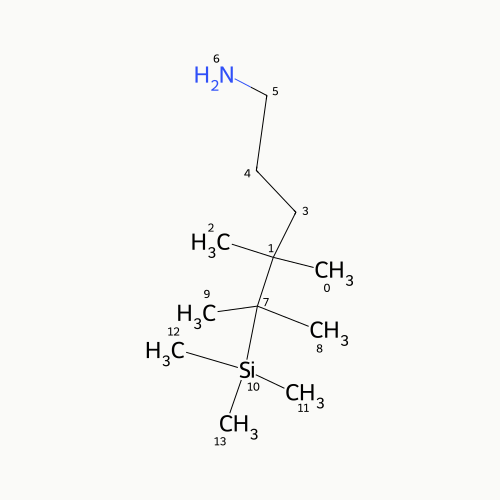 CC(C)(CCCN)C(C)(C)[Si](C)(C)C